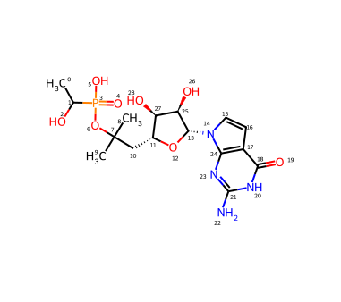 CC(O)P(=O)(O)OC(C)(C)C[C@H]1O[C@@H](n2ccc3c(=O)[nH]c(N)nc32)[C@H](O)[C@@H]1O